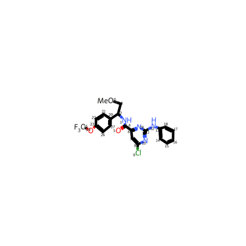 COCC(NC(=O)c1cc(Cl)nc(Nc2ccccc2)n1)c1ccc(OC(F)(F)F)cc1